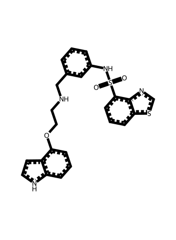 O=S(=O)(Nc1cccc(CNCCOc2cccc3[nH]ccc23)c1)c1cccc2scnc12